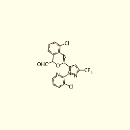 O=CC1OC(c2cc(C(F)(F)F)nn2-c2ncccc2Cl)=Nc2c(Cl)cccc21